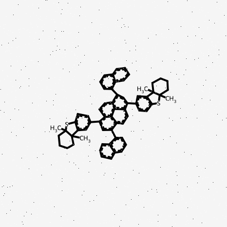 CC12CCCCC1(C)c1cc(-c3cc(-c4cccc5ccccc45)c4ccc5c(-c6ccc7c(c6)C6(C)CCCCC6(C)S7)cc(-c6cccc7ccccc67)c6ccc3c4c56)ccc1S2